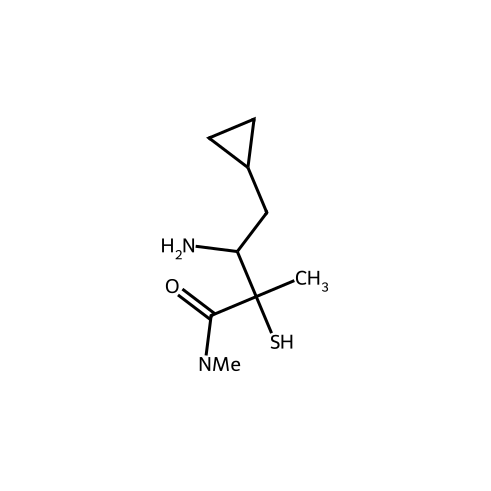 CNC(=O)C(C)(S)C(N)CC1CC1